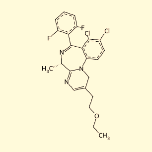 CCOCCC1=CN=C2[C@H](C)N=C(c3c(F)cccc3F)c3c(ccc(Cl)c3Cl)N2C1